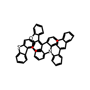 c1cc(-c2cccc3sc4ccccc4c23)cc(N(c2ccccc2-c2ccc3ccccc3c2)c2ccccc2-c2cccc3oc4ccccc4c23)c1